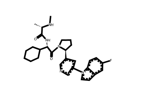 CN[C@@H](C)C(=O)N[C@H](C(=O)N1CCC[C@H]1c1cncc(-n2ccc3cc(F)ccc32)c1)C1CCCCC1